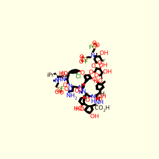 Cc1cc2ccc1Oc1cc3cc(c1OC1O[C@H](CO)[C@@H](O)C(O)[C@H]1O[C@H]1C[C@](C)(N(CCS(=O)(=O)F)CCS(=O)(=O)F)[C@H](O)[C@H](C)O1)Oc1ccc(cc1Cl)[C@@H](O)C(NC(=O)[C@@H](CC(C)C)N(C)CCS(=O)(=O)F)C(=O)NC(CC(N)=O)C(=O)N[C@H]3C(=O)N(C)[C@H]1C(=O)N[C@H](C(=O)N[C@@H](C(=O)O)c3cc(O)cc(O)c3-c3cc1ccc3O)[C@@H]2O